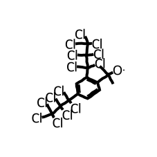 CC(C)([O])c1ccc(C(Cl)(Cl)C(Cl)(Cl)C(Cl)(Cl)Cl)cc1C(Cl)(Cl)C(Cl)(Cl)C(Cl)(Cl)Cl